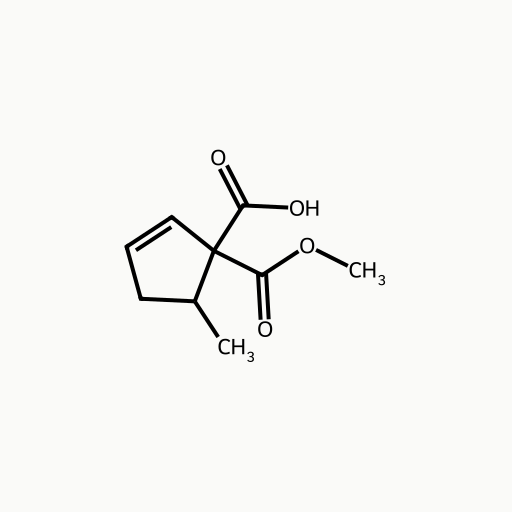 COC(=O)C1(C(=O)O)C=CCC1C